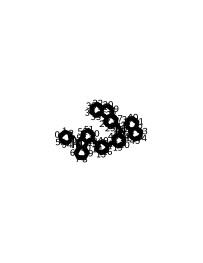 c1ccc(-n2c3ccccc3c3c(-c4cccc(-c5cccc(N(c6ccc7c(ccc8ccccc87)c6)c6cccc7ccccc67)c5)c4)cccc32)cc1